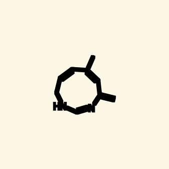 C=C1/C=C(C)\C=C/CN/C=N\1